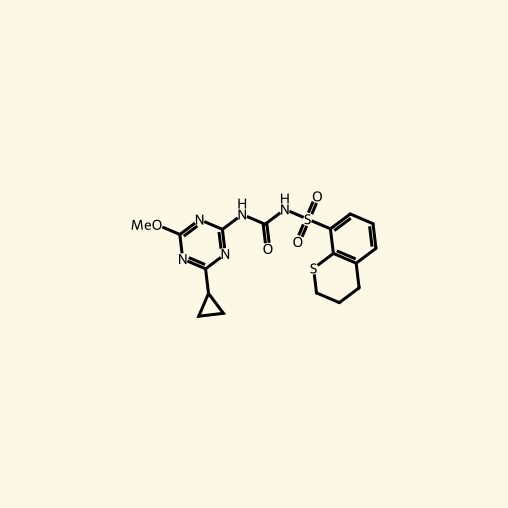 COc1nc(NC(=O)NS(=O)(=O)c2cccc3c2SCCC3)nc(C2CC2)n1